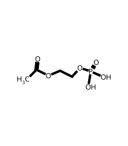 CC(=O)OCCOP(=O)(O)O